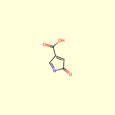 O=C1C=C(C(=O)O)C=N1